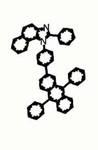 c1ccc(-c2c3ccccc3c(-c3ccccc3)c3cc(-c4ccc(-n5c(-c6ccccc6)nc6ccc7ccccc7c65)cc4)ccc23)cc1